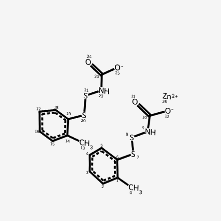 Cc1ccccc1SSNC(=O)[O-].Cc1ccccc1SSNC(=O)[O-].[Zn+2]